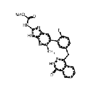 COC(=O)Nc1nc2cc(-c3cc(Cc4n[nH]c(=O)c5ccccc45)ccc3F)c(C)nc2[nH]1